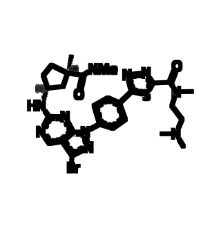 CNC(=O)[C@]1(C)CC[C@@H](Nc2ncc3c(Br)nn(-c4ccc(-c5nnc(C(=O)N(C)CCN(C)C)s5)cc4)c3n2)C1